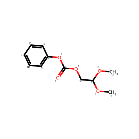 COC(COC(=O)Oc1ccccc1)OC